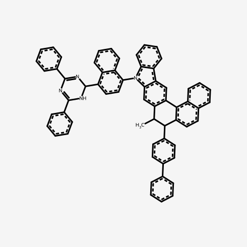 CC1c2cc3c(cc2-c2c(ccc4ccccc24)C1c1ccc(-c2ccccc2)cc1)c1ccccc1n3-c1ccc(C2N=C(c3ccccc3)N=C(c3ccccc3)N2)c2ccccc12